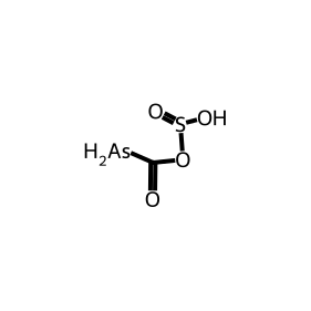 O=C([AsH2])OS(=O)O